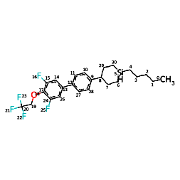 CCCCC[SiH]1CCC(c2ccc(-c3cc(F)c(OCC(F)(F)F)c(F)c3)cc2)CC1